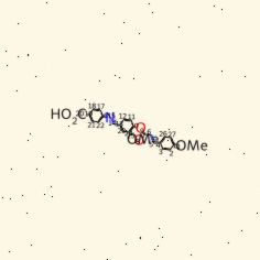 COc1ccc(/C=C/C(=O)Oc2ccc(/C=N/c3ccc(C(=O)O)cc3)cc2OC)cc1